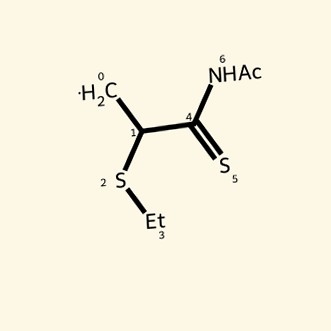 [CH2]C(SCC)C(=S)NC(C)=O